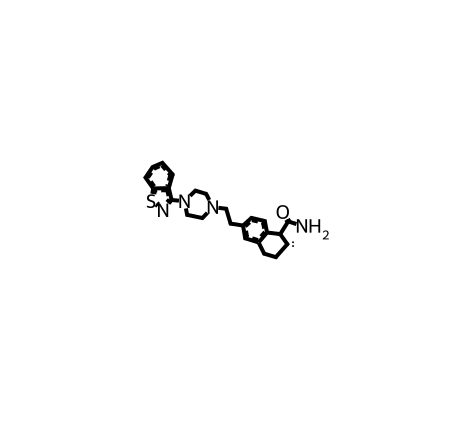 NC(=O)C1[C]CCc2cc(CCN3CCN(c4nsc5ccccc45)CC3)ccc21